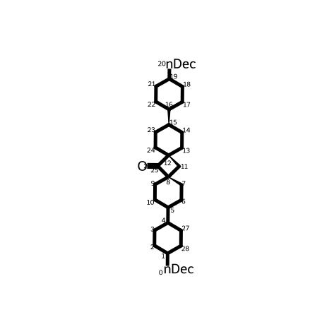 CCCCCCCCCCC1CCC(C2CC[C@]3(CC2)C[C@@]2(CC[C@H](C4CCC(CCCCCCCCCC)CC4)CC2)C3=O)CC1